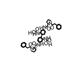 O=C(O)Nc1cc(NC(=O)C2CCCN2C(=O)Cc2ccccc2)ccc1-c1ccc(NC(=O)[C@H]2CCCN2C(=O)Cc2ccccc2)cc1NC(=O)O